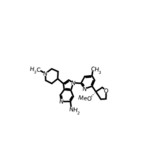 CO[C@@]1(c2cc(C)cc(-n3cc(C4CCN(C)CC4)c4cnc(N)cc43)n2)CCOC1